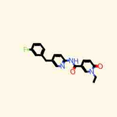 CCn1cc(C(=O)Nc2ccc(Cc3cccc(F)c3)cn2)ccc1=O